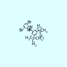 CC(C)(C)c1cc(-n2nc3c(Br)ccc(Br)c3n2)cc(C(C)(C)C)c1